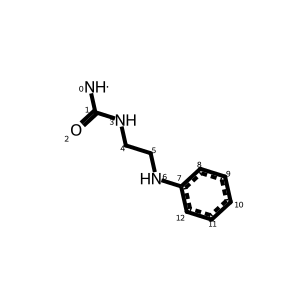 [NH]C(=O)NCCNc1ccccc1